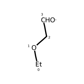 CCOC[C]=O